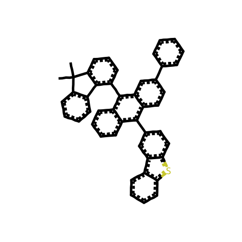 CC1(C)c2ccccc2-c2c(-c3c4ccccc4c(-c4ccc5sc6ccccc6c5c4)c4ccc(-c5ccccc5)cc34)cccc21